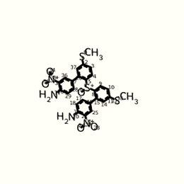 CSc1ccc([S+]([O-])c2ccc(SC)cc2-c2ccc(N)c([N+](=O)[O-])c2)c(-c2ccc(N)c([N+](=O)[O-])c2)c1